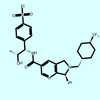 CCS(=O)(=O)c1ccc([C@H](NC(=O)c2cnc3c(c2)CN(C[C@H]2CC[C@H](C(F)(F)F)CC2)[C@H]3C(C)C)[C@@H](C)O)cc1